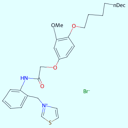 CCCCCCCCCCCCCCOc1ccc(OCC(=O)Nc2ccccc2C[n+]2ccsc2)cc1OC.[Br-]